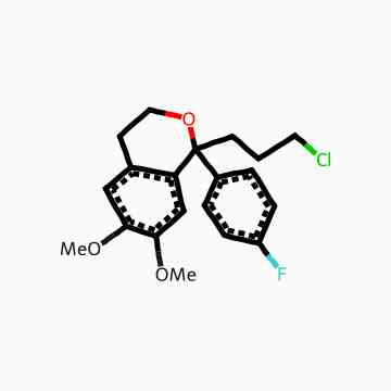 COc1cc2c(cc1OC)C(CCCCl)(c1ccc(F)cc1)OCC2